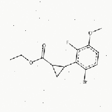 CCOC(=O)C1CC1c1c(Br)ccc(OC)c1F